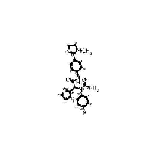 CN1CCN=C1c1ccc(NC(=O)C(c2cccs2)N(C(N)=O)c2ccc(F)cc2)cc1